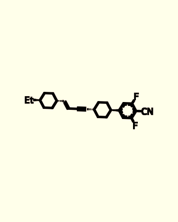 CC[C@H]1CC[C@H](C=CC#C[C@H]2CC[C@H](c3cc(F)c(C#N)c(F)c3)CC2)CC1